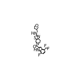 O=C(c1cc2c(C(F)F)ccc(F)c2[nH]1)N1CCc2nc(NCC3CCOC3)sc2C1